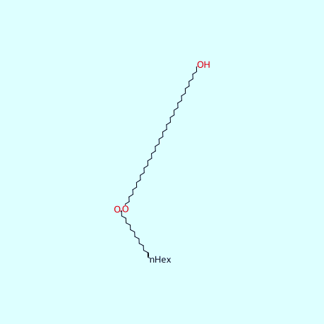 CCCCCCC=CCCCCCCCCCCCC(=O)OCCCCCCCCCCCCCCCCCCCCCCCCCCCCCCCCCCCCCCCO